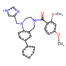 COc1ccc(C(=O)N2CCN(Cc3c[nH]cn3)c3ccc(-c4ccccc4)cc3C2)c(OC)c1